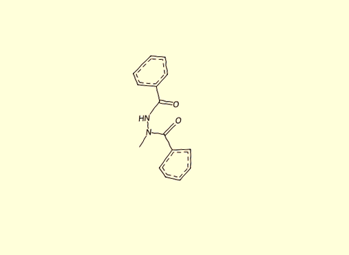 CN(NC(=O)c1ccccc1)C(=O)c1ccccc1